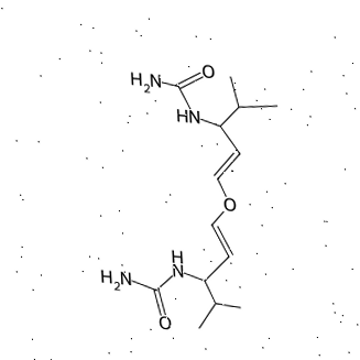 CC(C)C(/C=C/O/C=C/C(NC(N)=O)C(C)C)NC(N)=O